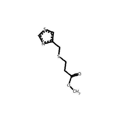 COC(=O)CCSCc1cs[c]n1